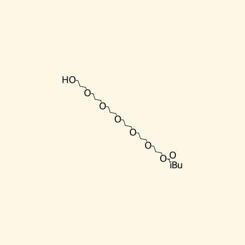 CCC(C)C(=O)OCCCOCCCOCCCOCCCOCCCOCCCO